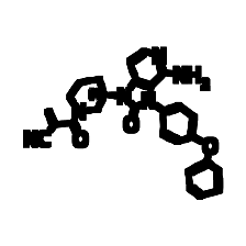 C=C(C#N)C(=O)N1CCC[C@@H](n2c(=O)n(-c3ccc(Oc4ccccc4)cc3)c3c(N)nccc32)C1